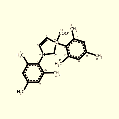 Cc1cc(C)c(N2C=C[N+](C(=O)[O-])(c3c(C)cc(C)cc3C)C2)c(C)c1